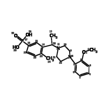 COc1ccccc1N1CCN(C(C)c2cc(P(=O)(O)O)ccc2C)CC1